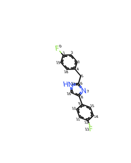 Fc1ccc(Cc2nc(-c3ccc(F)cc3)c[nH]2)cc1